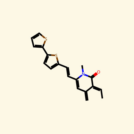 C=c1cc(/C=C/c2ccc(-c3cccs3)s2)n(C)c(=O)/c1=C/C